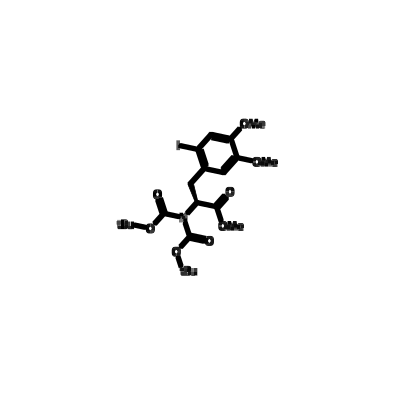 COC(=O)[C@H](Cc1cc(OC)c(OC)cc1I)N(C(=O)OC(C)(C)C)C(=O)OC(C)(C)C